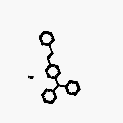 Br.C(=Cc1ccccn1)c1ccc(C(c2ccccc2)c2ccccc2)cc1